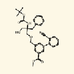 COC(=O)c1cc(COCC(CO)(Cc2ccccc2)NC(=O)OC(C)(C)C)cc(-c2ccccc2C#N)c1